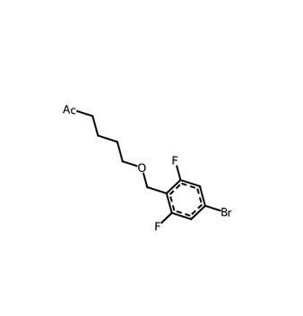 CC(=O)CCCCOCc1c(F)cc(Br)cc1F